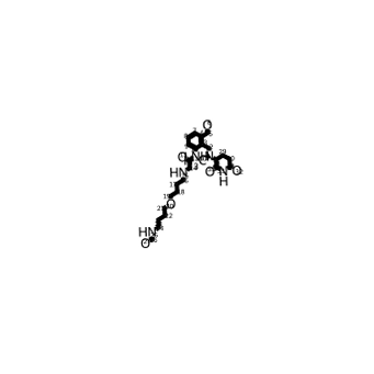 CN(Cc1c(C=O)cccc1NC(=O)CNCCCCOCCCCNC=O)C1CCC(=O)NC1=O